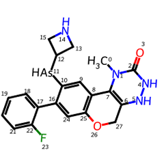 CN1C(=O)NNC2=C1c1cc([AsH]C3CNC3)c(-c3ccccc3F)cc1OC2